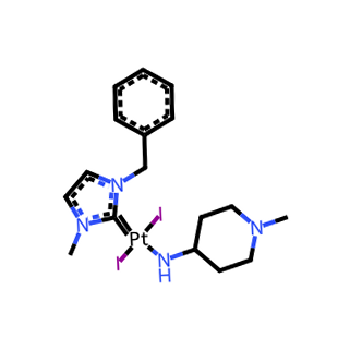 CN1CCC([NH][Pt]([I])([I])=[c]2n(C)ccn2Cc2ccccc2)CC1